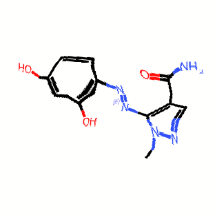 Cn1ncc(C(N)=O)c1/N=N/c1ccc(O)cc1O